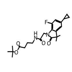 CC(C)(C)OC(=O)CCCNC(=O)CN1C(=O)C(C)(C)c2cc(C3CC3)cc(F)c21